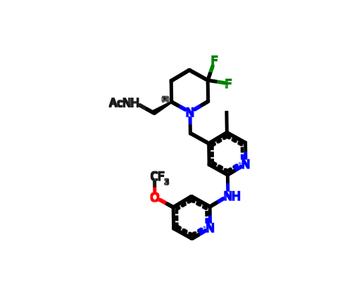 CC(=O)NC[C@H]1CCC(F)(F)CN1Cc1cc(Nc2cc(OC(F)(F)F)ccn2)ncc1C